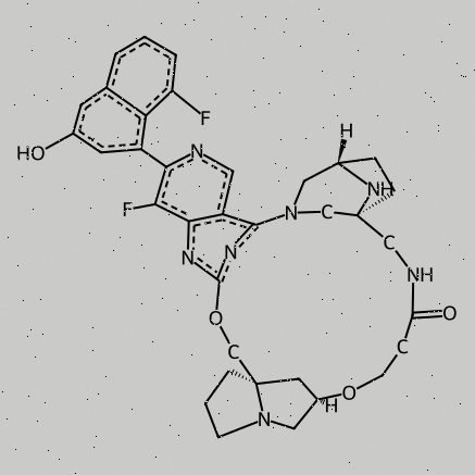 O=C1CCO[C@H]2CN3CCC[C@]3(COc3nc(c4cnc(-c5cc(O)cc6cccc(F)c56)c(F)c4n3)N3C[C@@H]4CC[C@](CN1)(C3)N4)C2